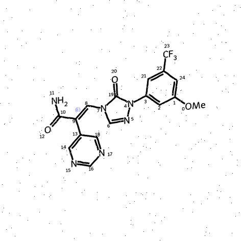 COc1cc(-n2ncn(/C=C(/C(N)=O)c3cncnc3)c2=O)cc(C(F)(F)F)c1